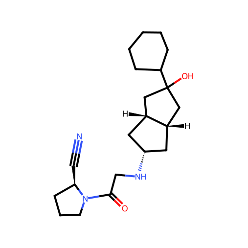 N#C[C@@H]1CCCN1C(=O)CN[C@@H]1C[C@@H]2CC(O)(C3CCCCC3)C[C@@H]2C1